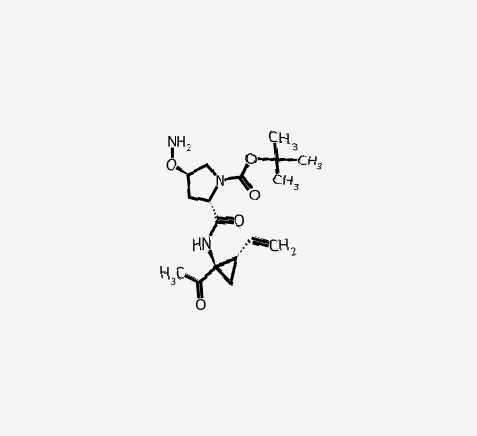 C=C[C@@H]1C[C@]1(NC(=O)[C@@H]1C[C@@H](ON)CN1C(=O)OC(C)(C)C)C(C)=O